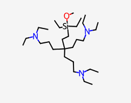 CCN(CC)CCCC(CCCN(CC)CC)(CCCN(CC)CC)CC[Si](CC)(CC)OC